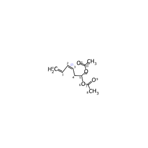 C=C/C=C\CC(OC(C)=O)OC(C)=O